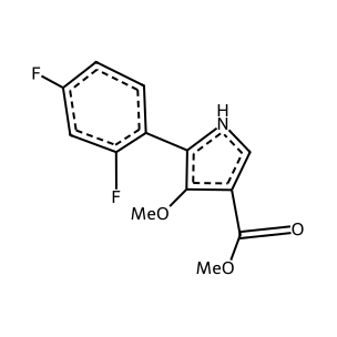 COC(=O)c1c[nH]c(-c2ccc(F)cc2F)c1OC